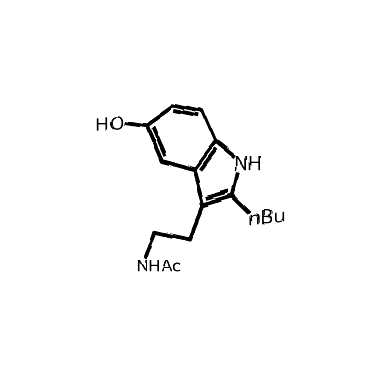 CCCCc1[nH]c2ccc(O)cc2c1CCNC(C)=O